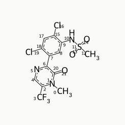 Cn1c(C(F)(F)F)cnc(-c2cc(NS(C)(=O)=O)c(Cl)cc2Cl)c1=O